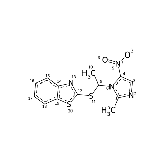 Cc1ncc([N+](=O)[O-])n1C(C)Sc1nc2ccccc2s1